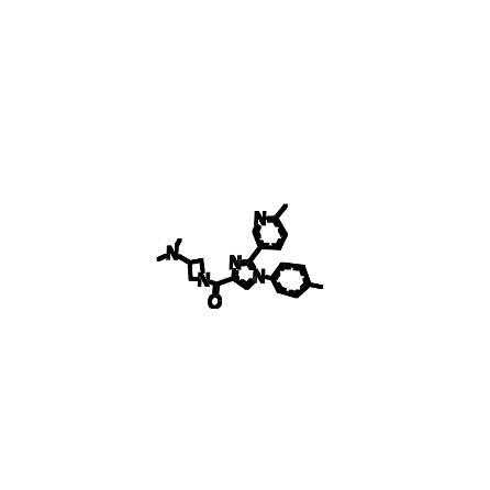 Cc1ccc(-n2cc(C(=O)N3CC(N(C)C)C3)nc2-c2ccc(C)nc2)cc1